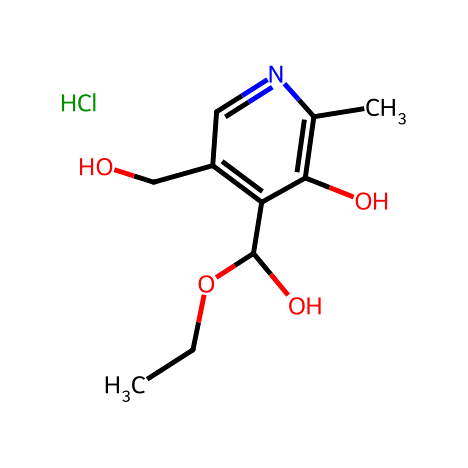 CCOC(O)c1c(CO)cnc(C)c1O.Cl